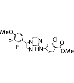 COC(=O)c1ccc(Nc2nccn3c(-c4ccc(OC)c(F)c4F)cnc23)cc1Cl